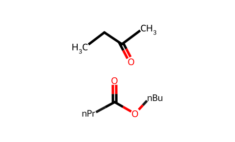 CCC(C)=O.CCCCOC(=O)CCC